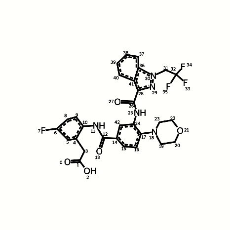 O=C(O)Cc1cc(F)ccc1NC(=O)c1ccc(N2CCOCC2)c(NC(=O)c2nn(CC(F)(F)F)c3ccccc23)c1